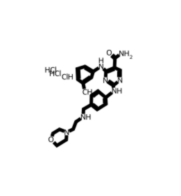 Cc1cccc(Nc2nc(Nc3ccc(CNCCN4CCOCC4)cc3)ncc2C(N)=O)c1.Cl.Cl.Cl